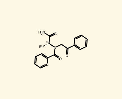 CC(C)[C@H](C(N)=O)N(CC(=O)c1ccccc1)C(=O)c1ccccn1